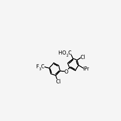 CC(C)c1cc(Oc2ccc(C(F)(F)F)cc2Cl)cc(C(=O)O)c1Cl